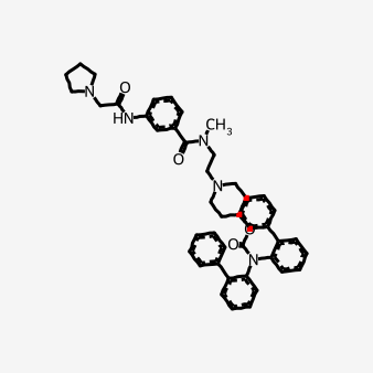 CN(CCN1CCC(OC(=O)N(c2ccccc2-c2ccccc2)c2ccccc2-c2ccccc2)CC1)C(=O)c1cccc(NC(=O)CN2CCCC2)c1